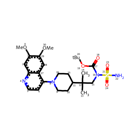 COc1cc2nccc(N3CCC(C(C)(C)CN(C(=O)OC(C)(C)C)S(N)(=O)=O)CC3)c2cc1OC